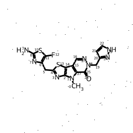 Cn1c2nc(Cc3nc(N)sc3F)sc2c2cnn(Cc3cc[nH]n3)c(=O)c21